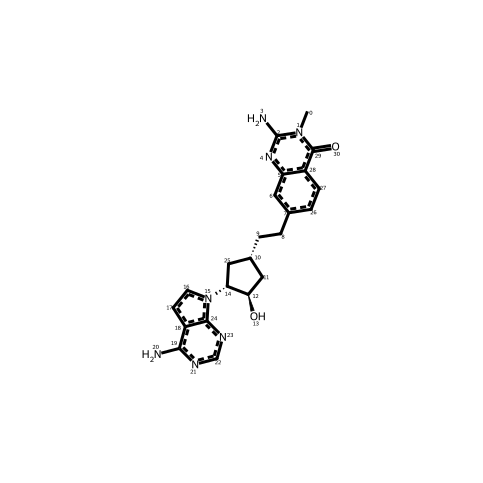 Cn1c(N)nc2cc(CC[C@@H]3C[C@@H](O)[C@H](n4ccc5c(N)ncnc54)C3)ccc2c1=O